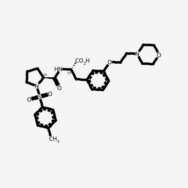 Cc1ccc(S(=O)(=O)N2CCC[C@H]2C(=O)N[C@@H](Cc2cccc(OCCN3CCOCC3)c2)C(=O)O)cc1